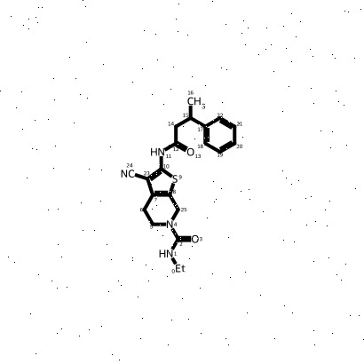 CCNC(=O)N1CCc2c(sc(NC(=O)CC(C)c3ccccc3)c2C#N)C1